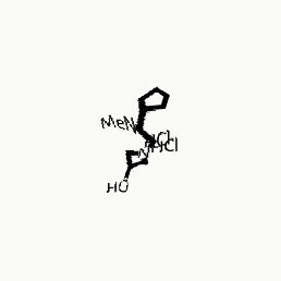 CNC(CN1CC(O)C1)C1CCCC1.Cl.Cl